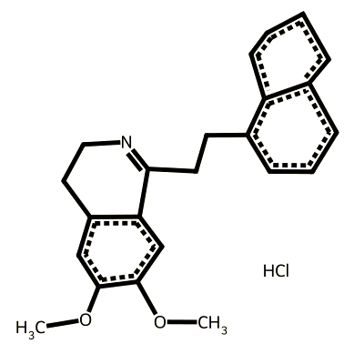 COc1cc2c(cc1OC)C(CCc1cccc3ccccc13)=NCC2.Cl